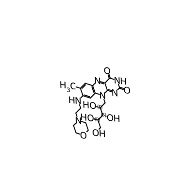 Cc1cc2nc3c(=O)[nH]c(=O)nc-3n(C[C@H](O)[C@H](O)[C@H](O)CO)c2cc1NCCN1CCOCC1